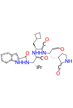 CC(C)[C@H](NC(=O)c1cc2ccccc2[nH]1)C(=C=O)N[C@@H](CC1CCC1)C(=C=O)N[C@H](C=C=O)C[C@@H]1CCNC1=C=O